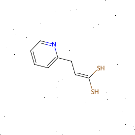 SC(S)=CCc1ccccn1